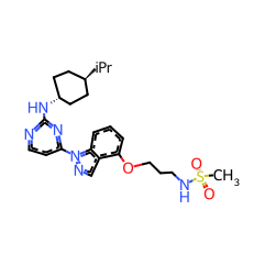 CC(C)[C@H]1CC[C@H](Nc2nccc(-n3ncc4c(OCCCNS(C)(=O)=O)cccc43)n2)CC1